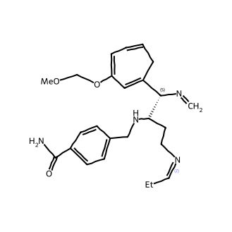 C=N[C@@H](C1=CC(OCOC)=CC=CC1)C(CC/N=C\CC)NCc1ccc(C(N)=O)cc1